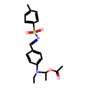 CCN(c1ccc(C=NS(=O)(=O)c2ccc(C)cc2)cc1)C(C)OC(C)=O